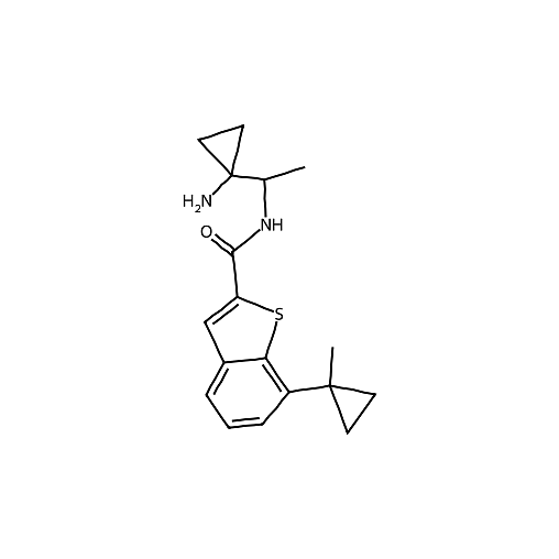 CC(NC(=O)c1cc2cccc(C3(C)CC3)c2s1)C1(N)CC1